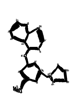 COc1cc(Oc2ncnc3ccccc23)cc(-n2cccn2)c1